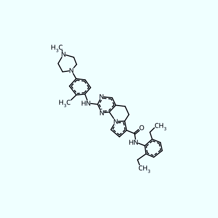 CCc1cccc(CC)c1NC(=O)c1ccn2c1CCc1cnc(Nc3ccc(N4CCN(C)CC4)cc3C)nc1-2